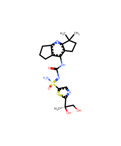 CC1(C)CCc2c1nc1c(c2NC(=O)N=[S@@](N)(=O)c2cnc([C@](C)(O)CO)s2)CCC1